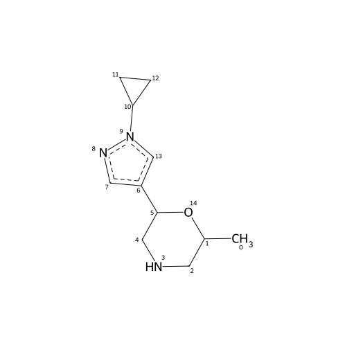 CC1CNCC(c2cnn(C3CC3)c2)O1